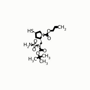 C=CCOC(=O)N1C[C@@H](S)C[C@H]1CN(C(=O)OC(C)(C)C)S(N)(=O)=O